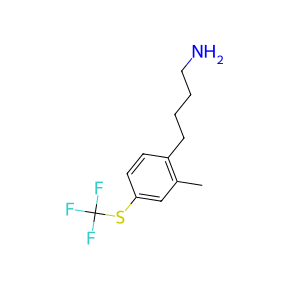 Cc1cc(SC(F)(F)F)ccc1CCCCN